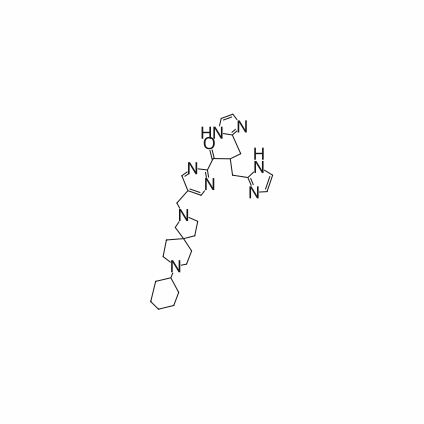 O=C(c1ncc(CN2CCC3(CCN(C4CCCCC4)CC3)C2)cn1)C(Cc1ncc[nH]1)Cc1ncc[nH]1